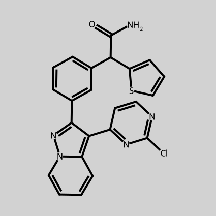 NC(=O)C(c1cccc(-c2nn3ccccc3c2-c2ccnc(Cl)n2)c1)c1cccs1